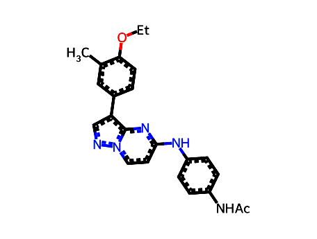 CCOc1ccc(-c2cnn3ccc(Nc4ccc(NC(C)=O)cc4)nc23)cc1C